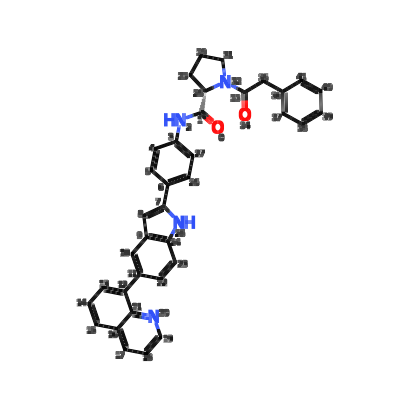 O=C(Nc1ccc(-c2cc3cc(-c4cccc5cccnc45)ccc3[nH]2)cc1)[C@@H]1CCCN1C(=O)Cc1ccccc1